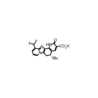 CC(C)(C)[C@@H]1Cc2c(nc3c(C(F)F)cccn23)-c2[nH]c(=O)c(C(=O)O)cc21